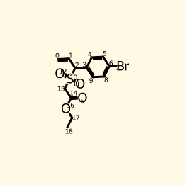 C=CC(c1ccc(Br)cc1)S(=O)(=O)CC(=O)OCC